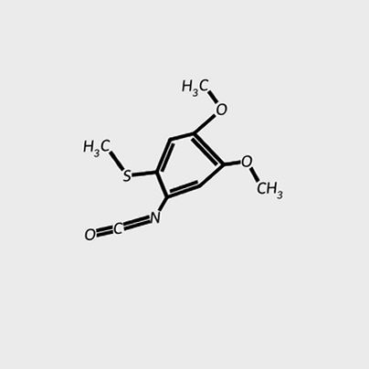 COc1cc(N=C=O)c(SC)cc1OC